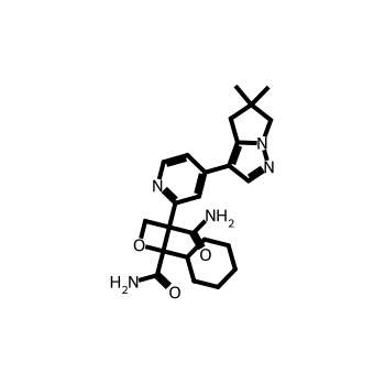 CC1(C)Cc2c(-c3ccnc(C4(C(N)=O)COC4(C(N)=O)C4CCCCC4)c3)cnn2C1